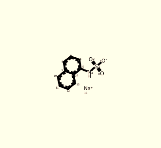 O=S(=O)([O-])Nc1cccc2ccccc12.[Na+]